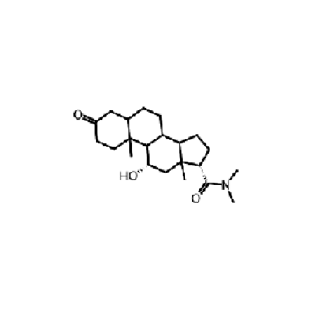 CN(C)C(=O)[C@H]1CCC2C3CCC4CC(=O)CCC4(C)C3[C@@H](O)CC21C